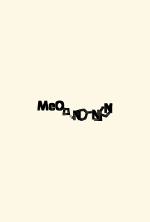 CO[C@H]1C[C@H](CN2CCC(CN3CCC34CCN(C)CC4)CC2)C1